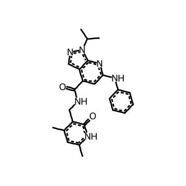 Cc1cc(C)c(CNC(=O)c2cc(Nc3ccccc3)nc3c2cnn3C(C)C)c(=O)[nH]1